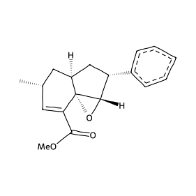 COC(=O)C1=C[C@H](C)C[C@H]2C[C@H](c3ccccc3)[C@@H]3O[C@]123